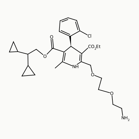 CCOC(=O)C1=C(COCCOCCN)NC(C)=C(C(=O)OCC(C2CC2)C2CC2)[C@H]1c1ccccc1Cl